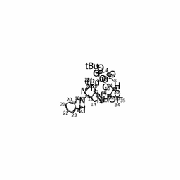 CC(C)(C)OP(=O)(CS(=O)(=O)C[C@H]1O[C@@H](n2ncc3c(NCc4ccccc4Cl)nc(Cl)nc32)[C@@H]2OC(C)(C)O[C@@H]21)OC(C)(C)C